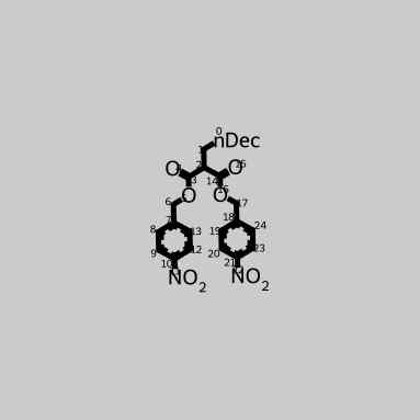 CCCCCCCCCCCC(C(=O)OCc1ccc([N+](=O)[O-])cc1)C(=O)OCc1ccc([N+](=O)[O-])cc1